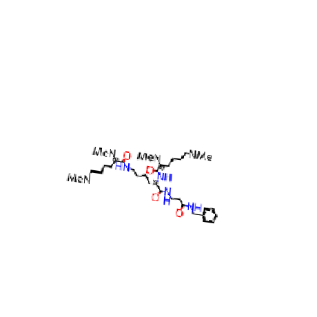 CNCCCC[C@H](NC)C(=O)NCCCC[C@H](NC(=O)[C@H](CCCCNC)NC)C(=O)NCCC(=O)NCc1ccccc1